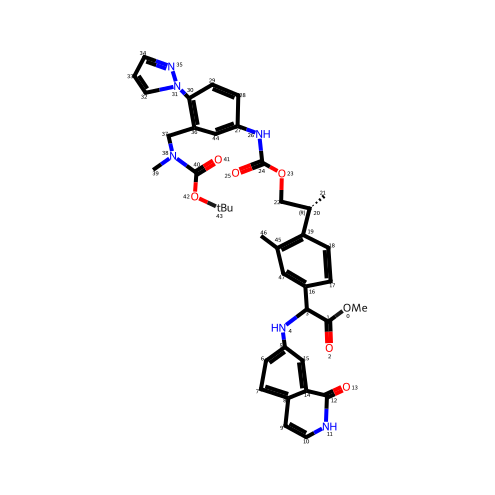 COC(=O)C(Nc1ccc2cc[nH]c(=O)c2c1)c1ccc([C@@H](C)COC(=O)Nc2ccc(-n3cccn3)c(CN(C)C(=O)OC(C)(C)C)c2)c(C)c1